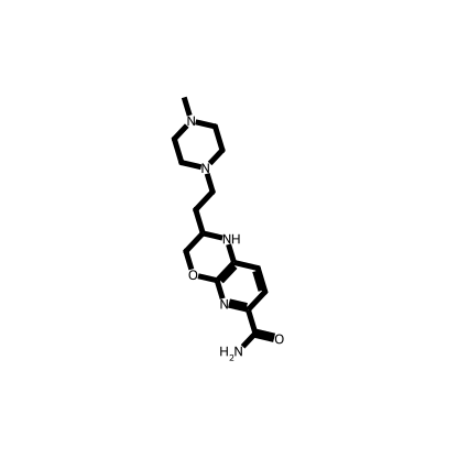 CN1CCN(CCC2COc3nc(C(N)=O)ccc3N2)CC1